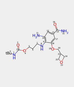 CC(C)(C)NC(=O)OCCCNc1c(N)cc(C(N)=O)cc1OCC1COC1